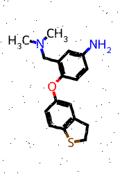 CN(C)Cc1cc(N)ccc1Oc1ccc2c(c1)CCS2